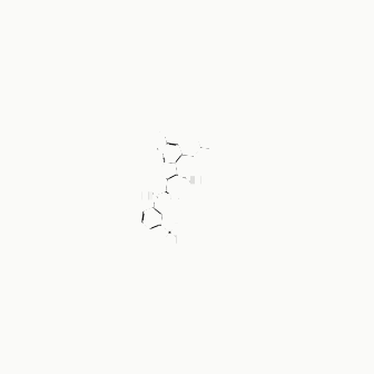 Cc1cc(CC(C)O)c2c(N)c(C(=O)Nc3cccc(C(F)(F)F)c3)sc2n1